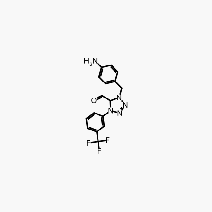 Nc1ccc(CN2N=NN(c3cccc(C(F)(F)F)c3)C2C=O)cc1